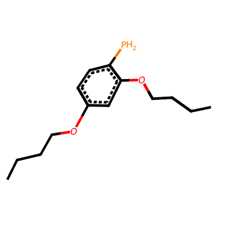 CCCCOc1ccc(P)c(OCCCC)c1